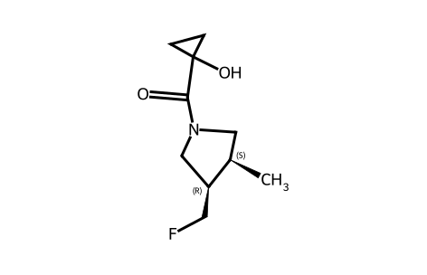 C[C@@H]1CN(C(=O)C2(O)CC2)C[C@@H]1CF